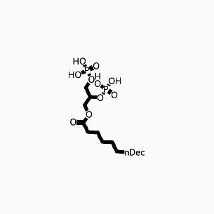 CCCCCCCCCCCCCCCC(=O)OCC(COP(=O)(O)O)OP(=O)(O)O